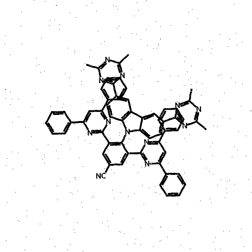 Cc1nc(C)nc(-c2ccc3c(c2)c2cc(-c4nc(C)nc(C)n4)ccc2n3-c2c(-c3nc(-c4ccccc4)cc(-c4ccccc4)n3)cc(C#N)cc2-c2nc(-c3ccccc3)cc(-c3ccccc3)n2)n1